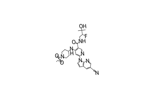 CC(C)(O)C(F)CNC(=O)c1cnc(-n2ccc3cc(C#N)cnc32)cc1NC1CCN(S(C)(=O)=O)CC1